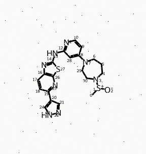 C[S+]([O-])N1CCCN(c2ccnc(Nc3nc4ccc(-c5cn[nH]c5)nc4s3)c2)CC1